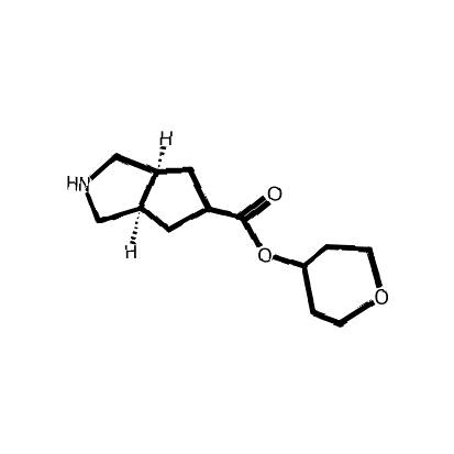 O=C(OC1CCOCC1)C1C[C@H]2CNC[C@H]2C1